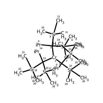 CC(C)[C]([Cr]([C](C(C)C)([Si](C)(C)C)[Si](C)(C)C)[C](C(C)C)([Si](C)(C)C)[Si](C)(C)C)([Si](C)(C)C)[Si](C)(C)C